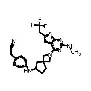 CNc1nc(N2CC3(CCC(Nc4ccc(CC#N)cc4)C3)C2)c2cc(CC(F)(F)F)sc2n1